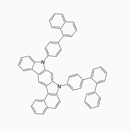 c1ccc(-c2ccccc2-c2ccc(-n3c4cc5c(cc4c4c6ccccc6ccc43)c3ccccc3n5-c3ccc(-c4cccc5ccccc45)cc3)cc2)cc1